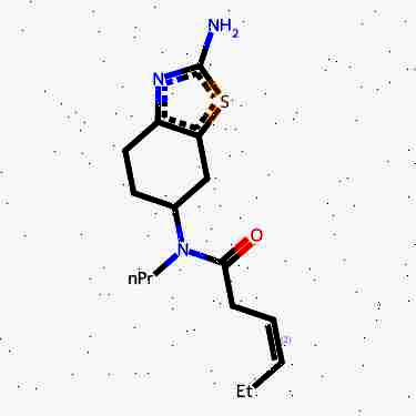 CC/C=C\CC(=O)N(CCC)C1CCc2nc(N)sc2C1